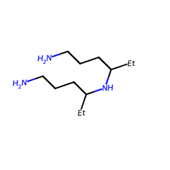 CCC(CCCN)NC(CC)CCCN